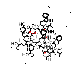 CC(=O)N[C@H](C(=O)N[C@H](C(=O)N[C@@H](Cc1ccccc1)C(=O)N[C@H](C(=O)N[C@@H](CO)C(=O)N[C@@H](Cc1c[nH]c2ccccc12)C(=O)N[C@@H](CCC(=O)O)C(=O)N[C@@H](CCC(=O)O)C(=O)N[C@@H](Cc1ccc(O)cc1)C(=O)N[C@@H](CC(C)C)C(=O)N[C@@H](CC(=O)O)C(=O)N[C@@H](Cc1c[nH]c2ccccc12)C(=O)N[C@H](C(N)=O)C(C)C)[C@@H](C)O)C(C)C)[C@@H](C)O